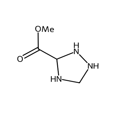 COC(=O)C1NCNN1